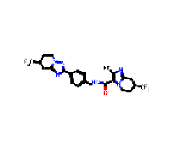 CCc1nc2n(c1C(=O)NCc1ccc(-c3nc4n(n3)CCC(C(F)(F)F)C4)cc1)CCC(C(F)(F)F)C2